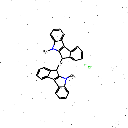 Cn1c2c(c3ccccc31)-c1ccccc1[CH]2[Ti+2][CH]1c2ccccc2-c2c1n(C)c1ccccc21.[Cl-].[Cl-]